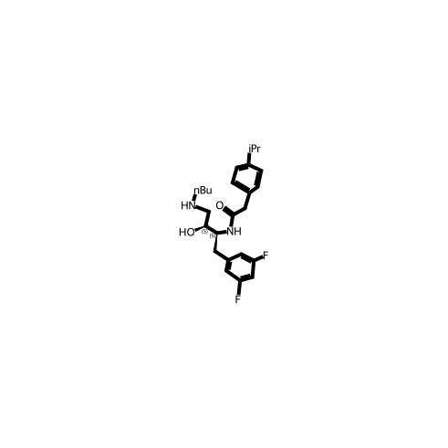 CCCCNC[C@H](O)[C@H](Cc1cc(F)cc(F)c1)NC(=O)Cc1ccc(C(C)C)cc1